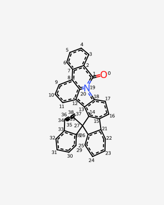 O=c1c2ccccc2c2cccc3c4c5c(ccc4n1c23)-c1ccccc1C51c2ccccc2-c2ccccc21